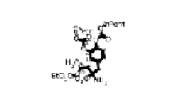 CCCCCOC(=O)Oc1ccc(CC(N)(C[C@H](C)OC(=O)OCC)C(=O)O)cc1OC(=O)OCCCCC